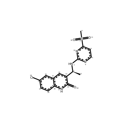 C[C@H](Nc1nccc(S(C)(=O)=O)n1)c1cc2cc(Cl)ccc2[nH]c1=O